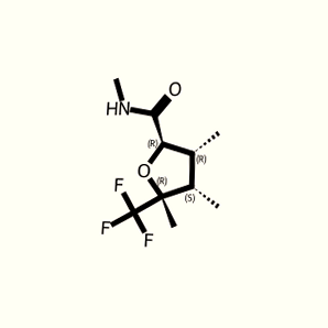 CNC(=O)[C@@H]1O[C@@](C)(C(F)(F)F)[C@@H](C)[C@H]1C